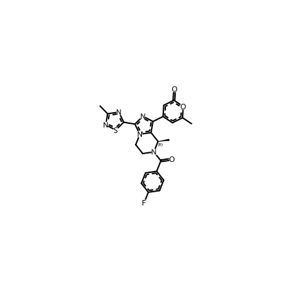 Cc1nsc(-c2nc(-c3cc(C)oc(=O)c3)c3n2CCN(C(=O)c2ccc(F)cc2)[C@@H]3C)n1